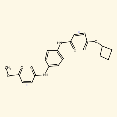 COC(=O)/C=C\C(=O)Nc1ccc(NC(=O)/C=C\C(=O)OC2CCC2)cc1